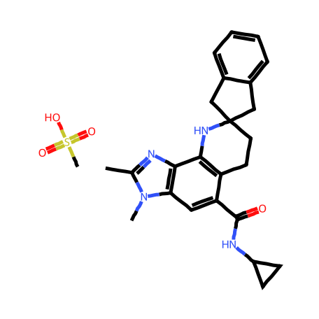 CS(=O)(=O)O.Cc1nc2c3c(c(C(=O)NC4CC4)cc2n1C)CCC1(Cc2ccccc2C1)N3